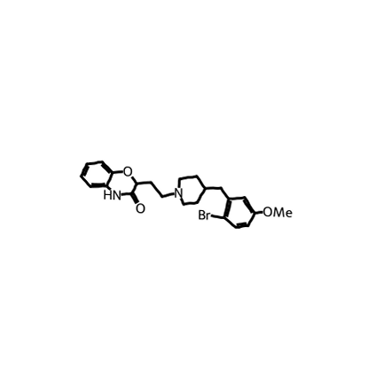 COc1ccc(Br)c(CC2CCN(CCC3Oc4ccccc4NC3=O)CC2)c1